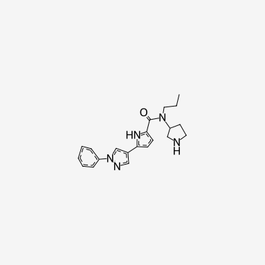 CCCN(C(=O)c1ccc(-c2cnn(-c3ccccc3)c2)[nH]1)C1CCNC1